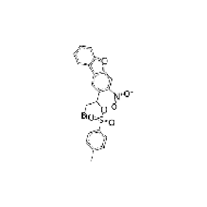 Cc1ccc(S(=O)(=O)OC(CBr)c2cc3c(cc2[N+](=O)[O-])oc2ccccc23)cc1